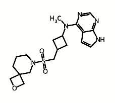 CN(c1ncnc2[nH]ccc12)C1CC(CS(=O)(=O)N2CCCC3(COC3)C2)C1